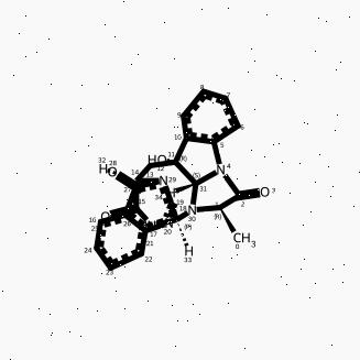 C[C@@H]1C(=O)N2c3ccccc3[C@]3(O)C[C@@H]4C(=O)N[C@@H](c5nc6ccccc6c(=O)n54)N1[C@@H]23